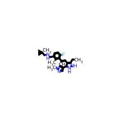 CCC1=C(/C=C(\C)c2c(F)ccc(CNCC3(C)CC3)c2C)C(c2cnn(C)c2)NN1